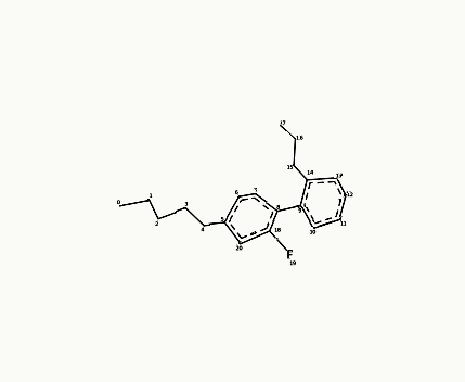 CCCCCc1ccc(-c2ccccc2CCC)c(F)c1